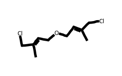 C/C(=C\COC/C=C(\C)CCl)CCl